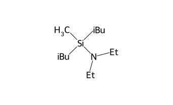 CCC(C)[Si](C)(C(C)CC)N(CC)CC